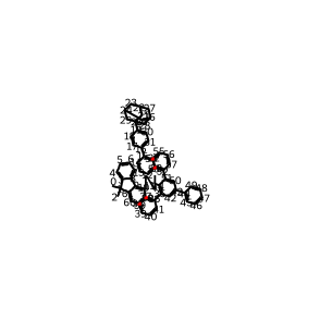 CC1(C)c2ccccc2-c2c(N(c3ccc(-c4ccc(C56CC7CC(CC(C7)C5)C6)cc4)cc3)c3c(-c4ccccc4)cc(-c4ccccc4)cc3-c3ccccc3)cccc21